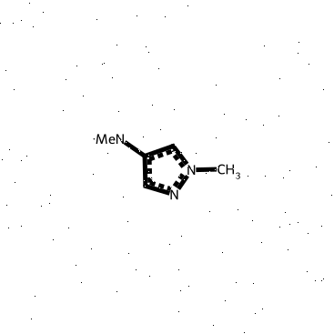 C[N]c1cnn(C)c1